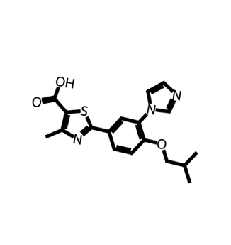 Cc1nc(-c2ccc(OCC(C)C)c(-n3ccnc3)c2)sc1C(=O)O